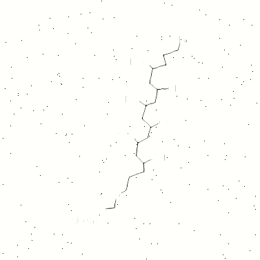 CCCCCOCOCCCC(C)CC(C)CC(C)CC(C)CC(C)CC(C)CCCBr